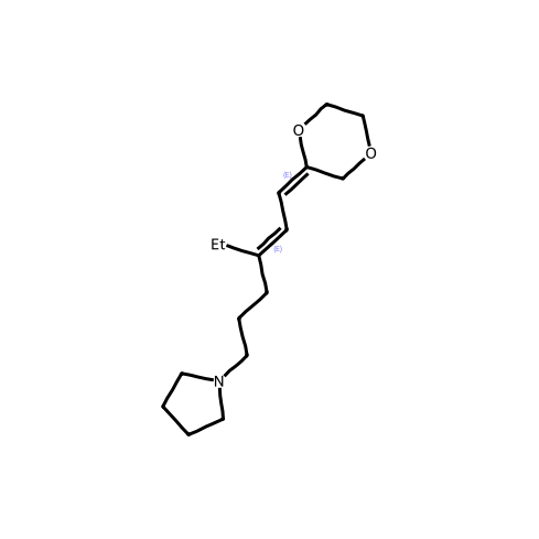 CC/C(=C\C=C1/COCCO1)CCCN1CCCC1